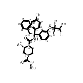 CC(=O)[C@@H]1CN(C(=O)OC(C)(C)C)CCN1C(=O)N[C@@](Cc1ccccc1)(c1cccc(OC(F)(F)C(F)F)c1)c1ccc(Cl)cn1